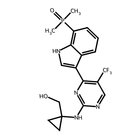 CP(C)(=O)c1cccc2c(-c3nc(NC4(CO)CC4)ncc3C(F)(F)F)c[nH]c12